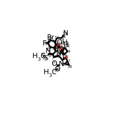 COC(=O)N1C(c2cc3c(SC)nc4c(F)c(Br)c(CCC#N)cc4c3n2[C@H]2[C@@H]3C[C@@H]2N(C(=O)O)C3)CC2CC21